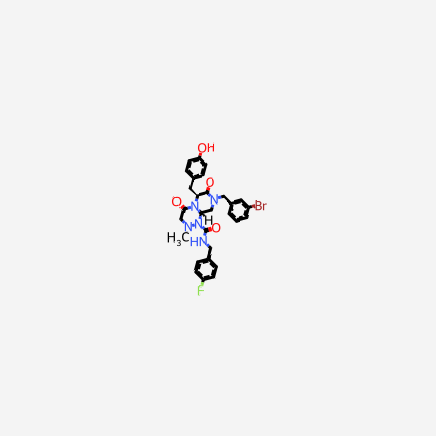 CN1CC(=O)N2[C@@H](Cc3ccc(O)cc3)C(=O)N(Cc3cccc(Br)c3)C[C@@H]2N1C(=O)NCc1ccc(F)cc1